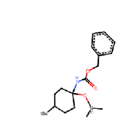 C[SiH](C)OC1(NC(=O)OCc2ccccc2)CCC(C(C)(C)C)CC1